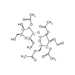 CC(=O)OC[C@H]1O[C@H](O[C@@H]2[C@@H](OP)O[C@@H](CO)[C@@H](O)[C@@H]2OC(C)=O)[C@@H](OC(C)=O)[C@@H](OC=O)[C@@H]1OC(C)=O